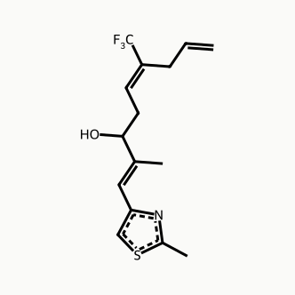 C=CC/C(=C\CC(O)/C(C)=C/c1csc(C)n1)C(F)(F)F